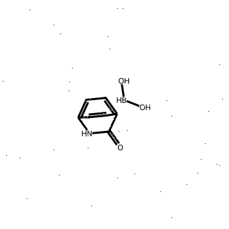 O=c1[nH]c2ccc1cc2.OBO